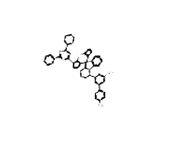 Nc1ccc(-c2cc(N)cc(-c3cccc4c3-c3ccccc3C43c4ccccc4Oc4c(-c5cc(-c6ccccc6)nc(-c6ccccc6)n5)cccc43)c2)cc1